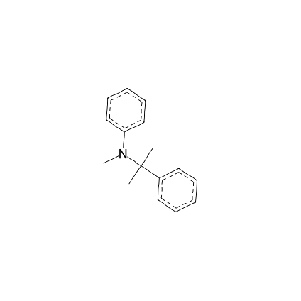 CN(c1ccccc1)C(C)(C)c1ccccc1